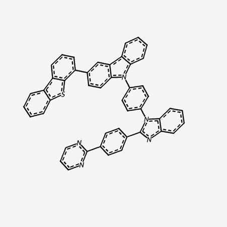 c1cnc(-c2ccc(-c3nc4ccccc4n3-c3ccc(-n4c5ccccc5c5cc(-c6cccc7c6sc6ccccc67)ccc54)cc3)cc2)nc1